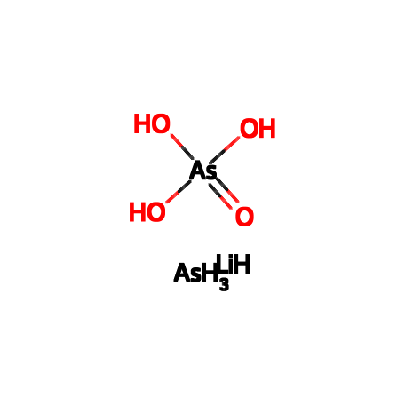 O=[As](O)(O)O.[AsH3].[LiH]